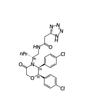 CCC[C@H](CNC(=O)Cc1nnn[nH]1)N1C(=O)CO[C@H](c2ccc(Cl)cc2)[C@@H]1c1ccc(Cl)cc1